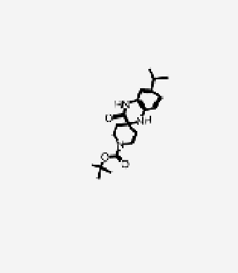 CC(C)c1ccc2c(c1)NC(=O)C1(CCN(C(=O)OC(C)(C)C)CC1)N2